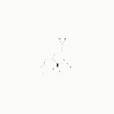 CCC(C)(C)NC(=O)C(CCC1CC1)CC1CCC1